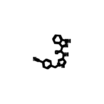 N#Cc1ccc(Cn2cc(NC(=O)c3n[nH]c4ccccc34)cn2)cc1